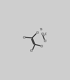 ClC(Cl)(Cl)Cl.ClC(Cl)=C(Cl)Cl.[Tl]